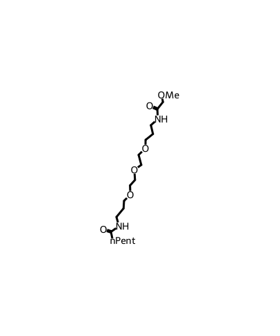 CCCCCC(=O)NCCCOCCOCCOCCCNC(=O)COC